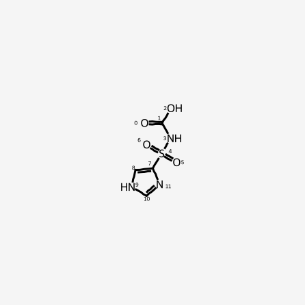 O=C(O)NS(=O)(=O)c1c[nH]cn1